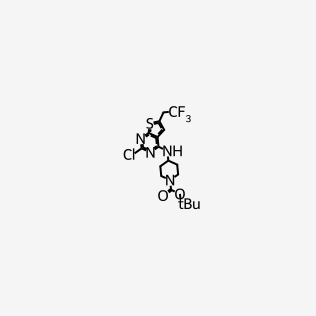 CC(C)(C)OC(=O)N1CCC(Nc2nc(Cl)nc3sc(CC(F)(F)F)cc23)CC1